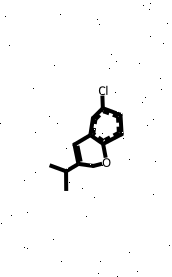 CC(C)C1=Cc2cc(Cl)ccc2OC1